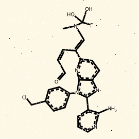 CN(/C=C(\C=C/C=O)c1ccc2nc(-c3cccnc3N)n(-c3ccc(CCl)cc3)c2n1)C(O)(O)F